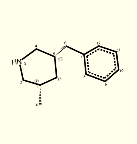 C[C@@H]1CNC[C@H](Cc2ccccc2)C1